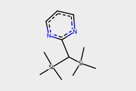 C[Si](C)(C)C(c1ncccn1)[Si](C)(C)C